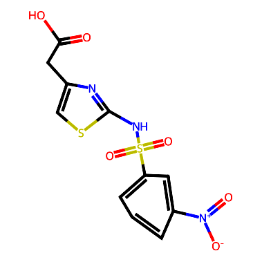 O=C(O)Cc1csc(NS(=O)(=O)c2cccc([N+](=O)[O-])c2)n1